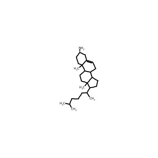 CC(C)CCCC(C)C1CCC2C3CC=C4C[C@H](N)CCC4(C)C3CCC12C